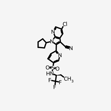 CC[C@H](NS(=O)(=O)c1ccc(-c2c(C#N)c3cc(Cl)cnc3n2C2CCCC2)nc1)C(F)(F)F